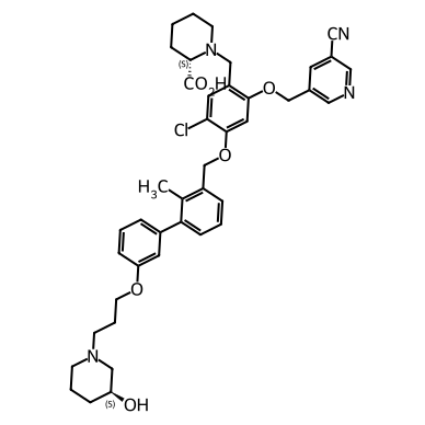 Cc1c(COc2cc(OCc3cncc(C#N)c3)c(CN3CCCC[C@H]3C(=O)O)cc2Cl)cccc1-c1cccc(OCCCN2CCC[C@H](O)C2)c1